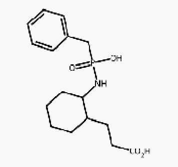 O=C(O)CCC1CCCCC1NP(=O)(O)Cc1ccccc1